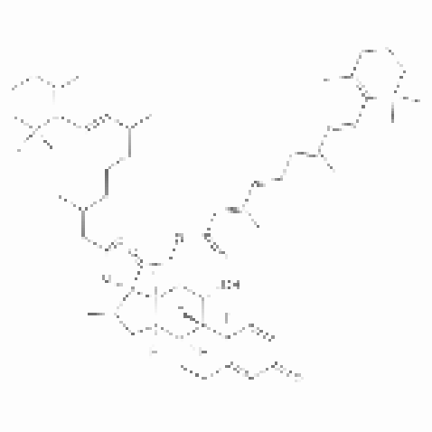 CC(C=CC=C(C)/C=C/C1=C(C)CCCC1(C)C)=CC(=O)O[C@@]1(C(=O)COC(=O)/C=C(C)/C=C/C=C(C)/C=C/C2=C(C)CCCC2(C)C)[C@H](C)C[C@@H]2[C@@H]3CCC4=CC(=O)C=C[C@]4(C)[C@@]3(F)[C@@H](O)C[C@@]21C